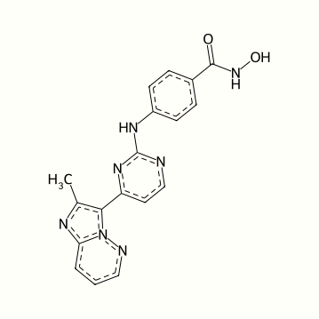 Cc1nc2cccnn2c1-c1ccnc(Nc2ccc(C(=O)NO)cc2)n1